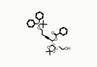 CC1(C)O[C@@H](CCO)[C@@H](C(C#CCCO[Si](c2ccccc2)(c2ccccc2)C(C)(C)C)OC(=O)c2ccccc2)O1